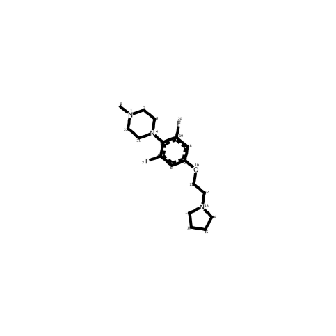 CN1CCN(c2c(F)cc(OCCN3CCCC3)cc2F)CC1